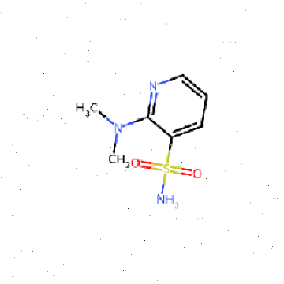 CN(C)c1ncccc1S(N)(=O)=O